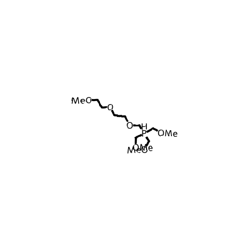 COCCOCCOC[PH](COC)(COC)COC